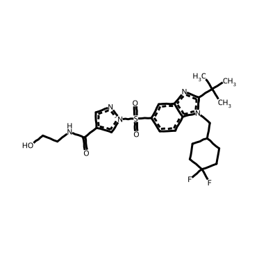 CC(C)(C)c1nc2cc(S(=O)(=O)n3cc(C(=O)NCCO)cn3)ccc2n1CC1CCC(F)(F)CC1